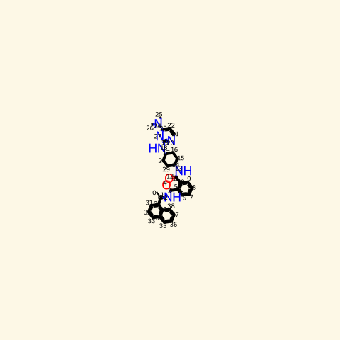 C[C@@H](NC(=O)c1ccccc1C(=O)NC1CCC(Nc2nccc(N(C)C)n2)CC1)c1cccc2ccccc12